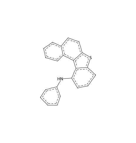 c1ccc(Nc2cccc3sc4ccc5ccccc5c4c23)cc1